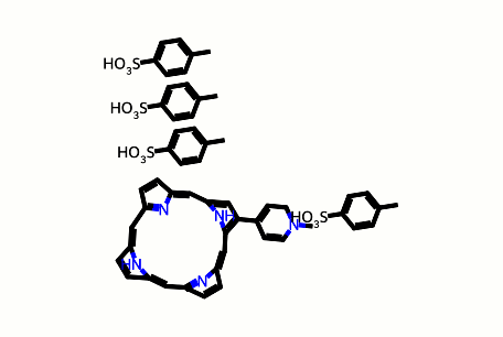 CN1C=CC(c2cc3cc4nc(cc5ccc(cc6nc(cc2[nH]3)C=C6)[nH]5)C=C4)=CC1.Cc1ccc(S(=O)(=O)O)cc1.Cc1ccc(S(=O)(=O)O)cc1.Cc1ccc(S(=O)(=O)O)cc1.Cc1ccc(S(=O)(=O)O)cc1